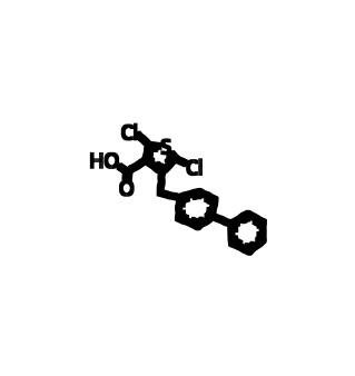 O=C(O)c1c(Cl)sc(Cl)c1Cc1ccc(-c2ccccc2)cc1